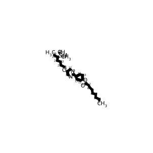 CCCCCCCCC(=O)Oc1ccc(-c2ncc(OCCCCC(CC)[SiH](C)C)cn2)cc1